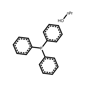 CCCO.c1ccc(P(c2ccccc2)c2ccccc2)cc1